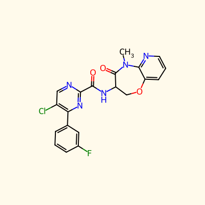 CN1C(=O)C(NC(=O)c2ncc(Cl)c(-c3cccc(F)c3)n2)COc2cccnc21